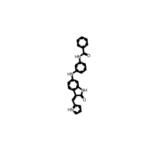 O=C1Nc2cc(Nc3cccc(NC(=O)c4ccccc4)c3)ccc2/C1=C/c1ccc[nH]1